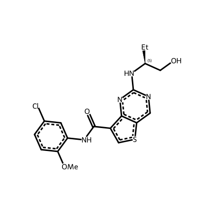 CC[C@@H](CO)Nc1ncc2scc(C(=O)Nc3cc(Cl)ccc3OC)c2n1